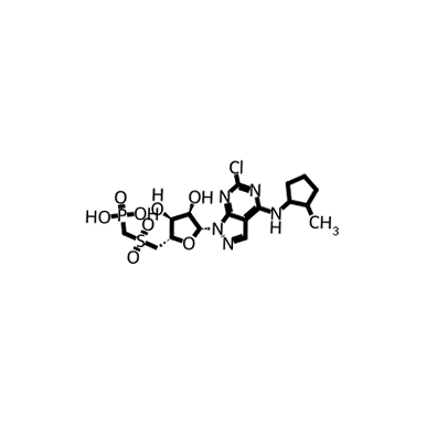 CC1CCCC1Nc1nc(Cl)nc2c1cnn2[C@@H]1O[C@H](CS(=O)(=O)CP(=O)(O)O)[C@@H](O)[C@H]1O